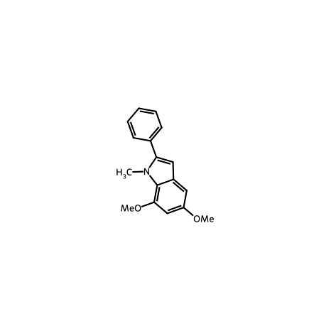 COc1cc(OC)c2c(c1)cc(-c1ccccc1)n2C